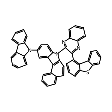 c1ccc2c(c1)ccc1c2c2cc(-n3c4ccccc4c4ccccc43)ccc2n1-c1nc2ccccc2nc1-c1cccc2sc3ccccc3c12